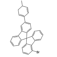 CC1C=CC(c2ccc3c(c2)-c2ccccc2C32c3ccccc3-c3c(Br)cccc32)=CC1